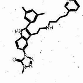 Cc1cc(C)cc(-c2[nH]c3ccc(-n4nnn(C)c4=O)cc3c2CCNCCCCc2cccnc2)c1